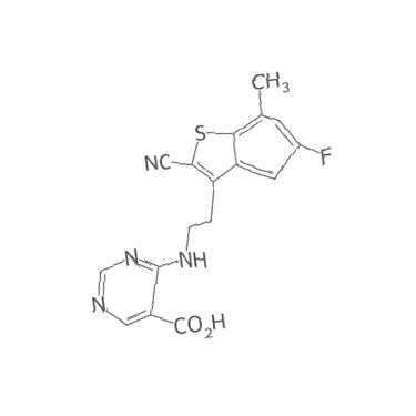 Cc1cc(F)cc2c(CCNc3ncncc3C(=O)O)c(C#N)sc12